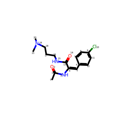 CC(=O)N/C(=C/c1ccc(Cl)cc1)C(=O)NCCCN(C)C